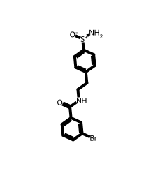 N[S+]([O-])c1ccc(CCNC(=O)c2cccc(Br)c2)cc1